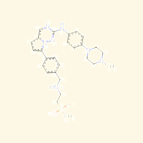 CN1CCN(c2ccc(Nc3ncc4ccc(-c5ccc(CNCCS(C)(=O)=O)cc5)n4n3)cc2)CC1